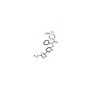 N=S1(=O)CCN(C(=O)N(Cc2ccc(-c3nnc(C(F)(F)F)o3)cn2)c2ccccc2)CC1